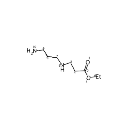 CCOC(=O)CCNCCCN